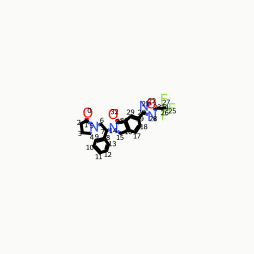 O=C1CCCN1CC(c1ccccc1)N1Cc2ccc(-c3noc(C(F)(F)F)n3)cc2C1=O